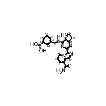 NC(=O)c1cccn2c(-c3nc4c(c(NCc5cccc(B(O)O)c5)n3)NCC4)ncc12